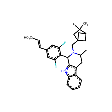 CC1Cc2c([nH]c3ccccc23)C(c2c(F)cc(/C=C/C(=O)O)cc2F)N1CC12CC(C1)[C@@H](C(F)(F)F)C2